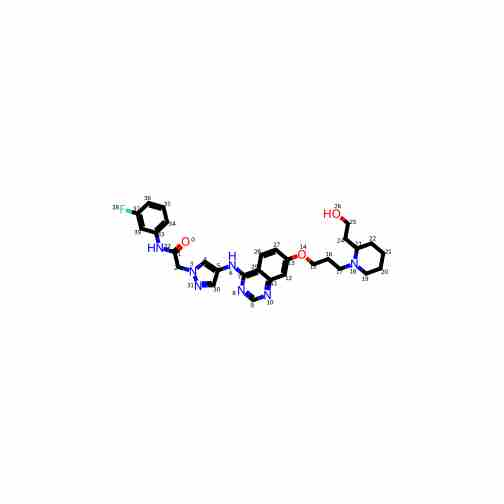 O=C(Cn1cc(Nc2ncnc3cc(OCCCN4CCCCC4CCO)ccc23)cn1)Nc1cccc(F)c1